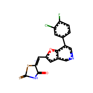 O=C1NC(=S)S/C1=C/c1cc2cncc(-c3ccc(F)c(Cl)c3)c2o1